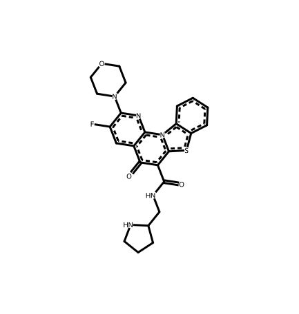 O=C(NCC1CCCN1)c1c(=O)c2cc(F)c(N3CCOCC3)nc2n2c1sc1ccccc12